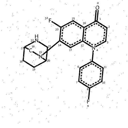 O=c1ccn(-c2ccc(F)cc2)c2cc(N3CC4CCC3CN4)c(F)cc12